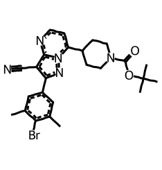 Cc1cc(-c2nn3c(C4CCN(C(=O)OC(C)(C)C)CC4)ccnc3c2C#N)cc(C)c1Br